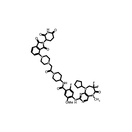 COc1cc(C(=O)NC2CCN(C(=O)CN3CCN(c4cccc5c4C(=O)N(C4CCC(=O)NC4=O)C5=O)CC3)CC2)c(F)cc1Nc1ncc2c(n1)N(C1CCCC1)CC(F)(F)C(=O)N2C